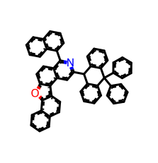 c1ccc(C2(c3ccccc3)c3ccccc3C(c3cc4c(ccc5oc6c7ccccc7ccc6c54)c(-c4cccc5ccccc45)n3)c3ccccc32)cc1